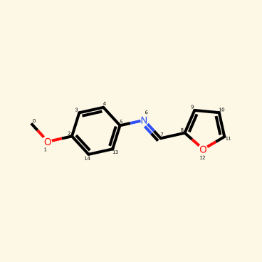 COc1ccc(/N=C/c2ccco2)cc1